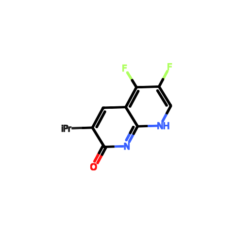 CC(C)c1cc2c(F)c(F)c[nH]c-2nc1=O